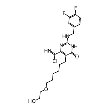 N=C(Cl)c1nc(NCc2ccc(F)c(F)c2)[nH]c(=O)c1CCCCCCOCCO